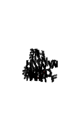 [2H]C([2H])([2H])c1nc(-n2ccnc2-c2cc(F)cc(F)c2)nc2c1NC(=O)[C@H](C([2H])([2H])C([2H])([2H])[2H])N2C([2H])(C([2H])([2H])[2H])C([2H])([2H])[2H]